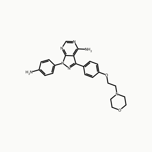 Nc1ccc(-n2nc(-c3ccc(OCCN4CCOCC4)cc3)c3c(N)ncnc32)cc1